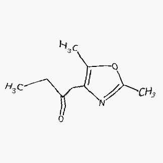 CCC(=O)c1nc(C)oc1C